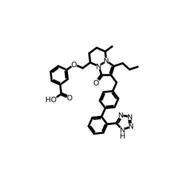 CCCc1c(Cc2ccc(-c3ccccc3-c3nnn[nH]3)cc2)c(=O)n2n1C(C)CCC2COc1cccc(C(=O)O)c1